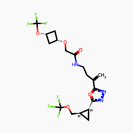 C=C(CCNC(=O)CO[C@H]1C[C@@H](OC(F)(F)F)C1)c1nnc([C@@H]2C[C@H]2COC(F)(F)F)o1